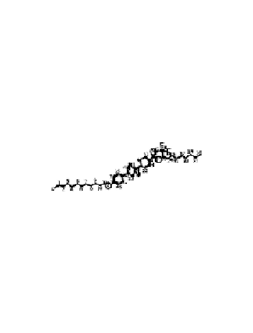 CCCCCCCCCCCCOc1ccc(-c2cnc(-c3ccc(C(=O)OC(CCCCCCCC)C(F)(F)F)cc3)nc2)cc1